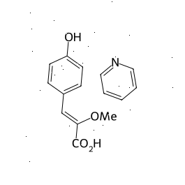 CO/C(=C\c1ccc(O)cc1)C(=O)O.c1ccncc1